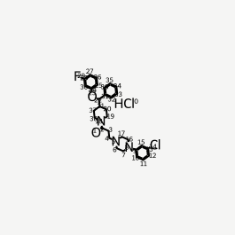 Cl.O=C(CCN1CCN(c2cccc(Cl)c2)CC1)N1CCC(C(Oc2cccc(F)c2)c2ccccc2)CC1